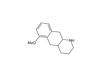 COc1cccc2c1CC1CCCNC1C2